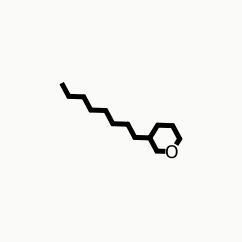 CCCCCCCCC1CCCOC1